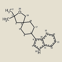 CC1(C)CC2(CCC(c3c[nH]c4cccnc34)CC2)CO1